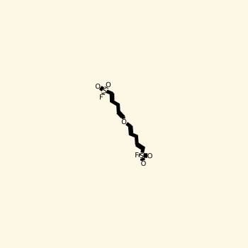 O=S(=O)(F)C=CCC=COC=CCC=CS(=O)(=O)F